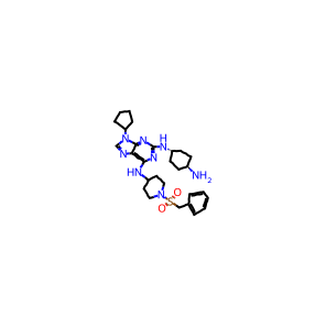 N[C@H]1CC[C@H](Nc2nc(NC3CCN(S(=O)(=O)Cc4ccccc4)CC3)c3ncn(C4CCCC4)c3n2)CC1